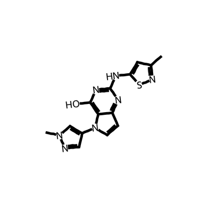 Cc1cc(Nc2nc(O)c3c(ccn3-c3cnn(C)c3)n2)sn1